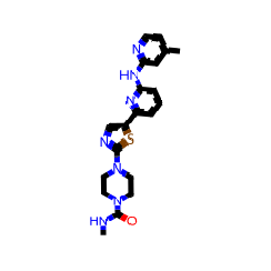 CNC(=O)N1CCN(c2ncc(-c3cccc(Nc4cc(C)ccn4)n3)s2)CC1